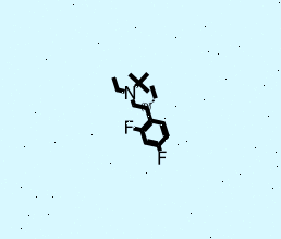 CC[C@@H](CN(CC)C(C)(C)C)c1ccc(F)cc1F